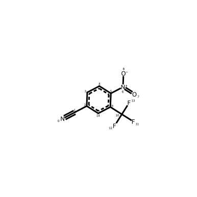 N#Cc1ccc([N+](=O)[O-])c(C(F)(F)F)c1